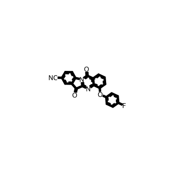 N#Cc1ccc2c(c1)C(=O)c1nc3c(Oc4ccc(F)cc4)cccc3c(=O)n1-2